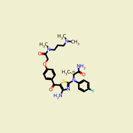 C[C@H](C(N)=O)N(c1ccc(F)cc1)c1nc(N)c(C(=O)c2ccc(OCC(=O)N(C)CCCN(C)C)cc2)s1